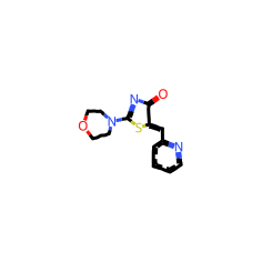 O=C1N=C(N2CCOCC2)S/C1=C\c1ccccn1